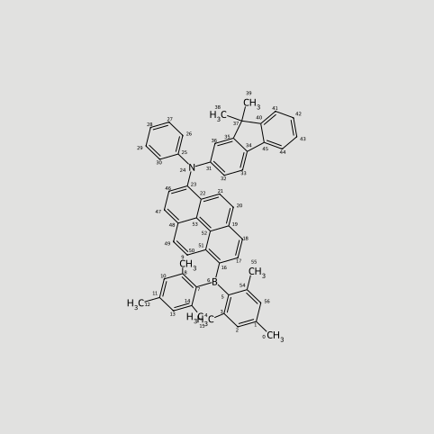 Cc1cc(C)c(B(c2c(C)cc(C)cc2C)c2ccc3ccc4c(N(c5ccccc5)c5ccc6c(c5)C(C)(C)c5ccccc5-6)ccc5ccc2c3c54)c(C)c1